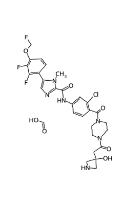 Cn1c(-c2ccc(OCF)c(F)c2F)cnc1C(=O)Nc1ccc(C(=O)N2CCN(C(=O)CC3(O)CNC3)CC2)c(Cl)c1.O=CO